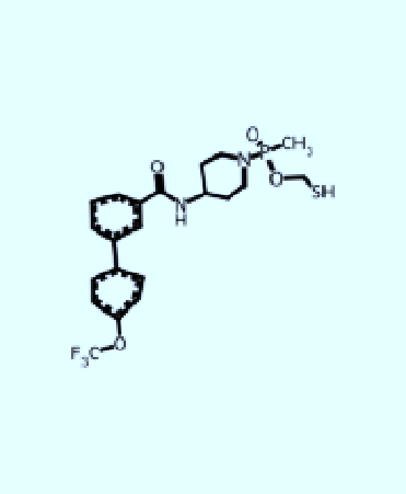 CP(=O)(OCS)N1CCC(NC(=O)c2cccc(-c3ccc(OC(F)(F)F)cc3)c2)CC1